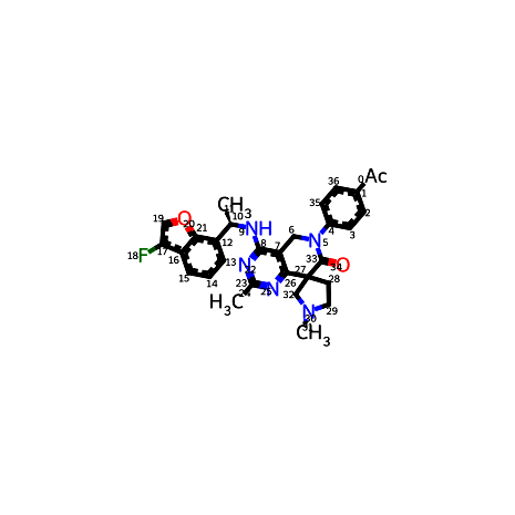 CC(=O)c1ccc(N2Cc3c(N[C@H](C)c4cccc5c(F)coc45)nc(C)nc3C3(CCN(C)C3)C2=O)cc1